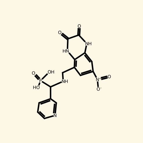 O=c1[nH]c2cc([N+](=O)[O-])cc(CNC(c3cccnc3)P(=O)(O)O)c2[nH]c1=O